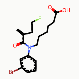 C=C(CCF)C(=O)N(CCCCCC(=O)O)c1cccc(Br)c1